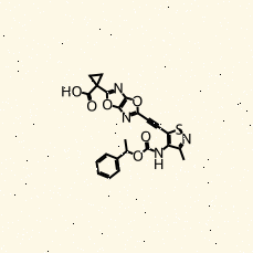 Cc1nsc(C#Cc2nc3oc(C4(C(=O)O)CC4)nc3o2)c1NC(=O)OC(C)c1ccccc1